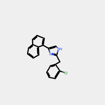 Clc1ccccc1Cc1nc(-c2cccc3ccccc23)c[nH]1